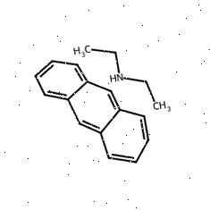 CCNCC.c1ccc2cc3ccccc3cc2c1